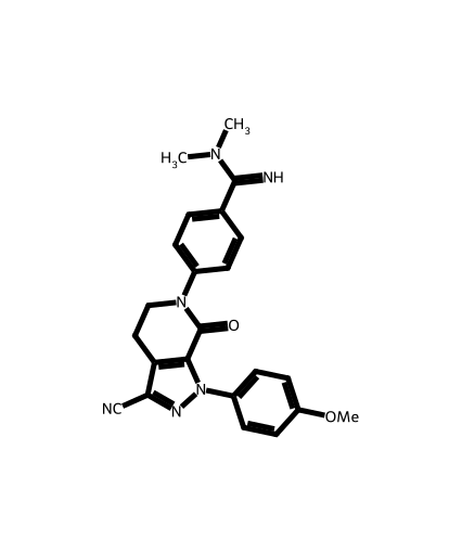 COc1ccc(-n2nc(C#N)c3c2C(=O)N(c2ccc(C(=N)N(C)C)cc2)CC3)cc1